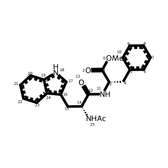 COC(=O)[C@H](Cc1ccccc1)NC(=O)[C@@H](Cc1c[nH]c2ccccc12)NC(C)=O